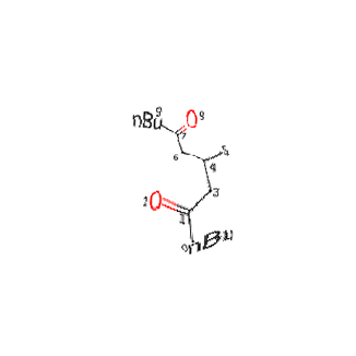 CCCCC(=O)CC(C)CC(=O)CCCC